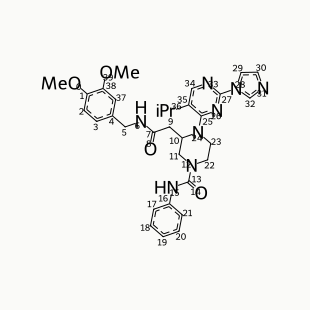 COc1ccc(CNC(=O)CC2CN(C(=O)Nc3ccccc3)CCN2c2nc(-n3ccnc3)ncc2C(C)C)cc1OC